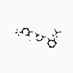 COc1nc(P(C)(C)=O)ccc1Nc1nccc(Nc2ccccc2S(=O)(=O)C(C)C)n1